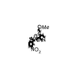 COCCOc1ccncc1C(=O)Nc1nsc2ccc([N+](=O)[O-])cc12